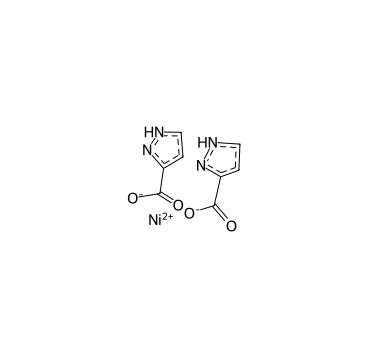 O=C([O-])c1cc[nH]n1.O=C([O-])c1cc[nH]n1.[Ni+2]